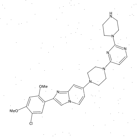 COc1cc(OC)c(-c2cn3ccc(N4CCN(c5ccnc(N6CCNCC6)n5)CC4)cc3n2)cc1Cl